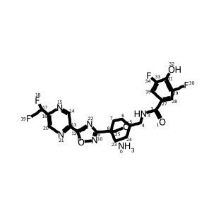 N.O=C(NCC12CCC(c3noc(-c4cnc(C(F)F)cn4)n3)(CC1)CC2)c1cc(F)c(O)c(F)c1